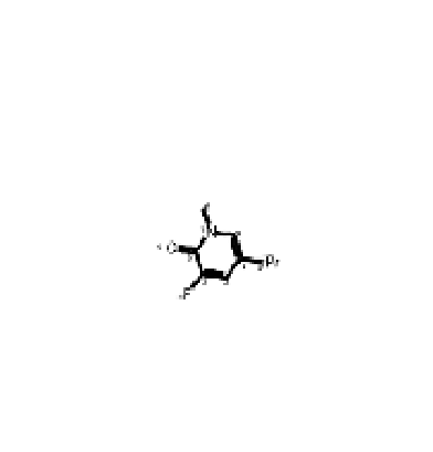 CC(C)c1cc(F)c(=O)n(C)c1